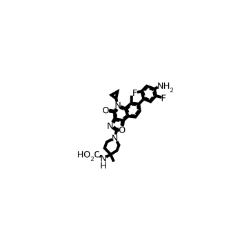 Cc1c(-c2cc(F)c(N)cc2F)ccc2c3oc(N4CCC(C)(NC(=O)O)CC4)nc3c(=O)n(C3CC3)c12